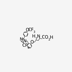 N[C@H](CCCOc1ccccc1Cn1c(C(F)(F)F)cnc1-c1ccc(OC(F)(F)F)cc1)CC(=O)O